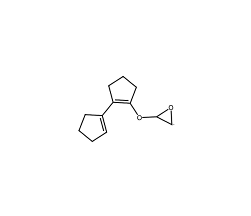 [CH]1OC1OC1=C(C2=CCCC2)CCC1